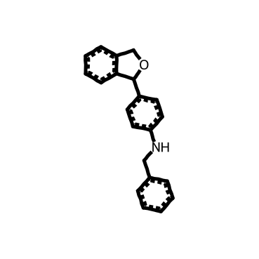 c1ccc(CNc2ccc(C3OCc4ccccc43)cc2)cc1